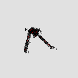 COCCOCCOCCOCCOCCOCCOCCOCCOCCOCCOCCOCCNS(=O)(=O)C1=CC2C(S1)c1cc3c(cc1=[N+](C)C2(C)C)Oc1cc2c(cc1C=3c1c(F)c(SCC(=O)ON3C(=O)CCC3=O)c(F)c(F)c1S(=O)(=O)O)C1SC(S(=O)(=O)COCCOCCOCCOCCOCCOCCNCCOCCOCCOCCOCCOCCO)=CC1C(C)(C)N2C